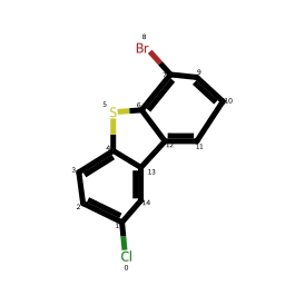 Clc1ccc2sc3c(Br)cccc3c2c1